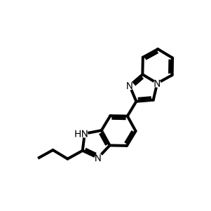 CCCc1nc2ccc(-c3cn4ccccc4n3)cc2[nH]1